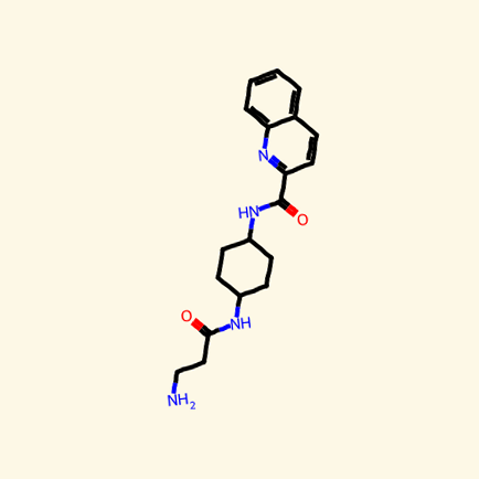 NCCC(=O)NC1CCC(NC(=O)c2ccc3ccccc3n2)CC1